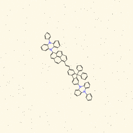 C(=C\c1ccc2ccc3c(N4c5ccccc5N(c5ccccc5)c5ccccc54)ccc4ccc1c2c43)/c1ccc2c(c1)C(c1ccccc1)(c1ccccc1)c1cc(N3c4ccccc4N(c4ccccc4)c4ccccc43)ccc1-2